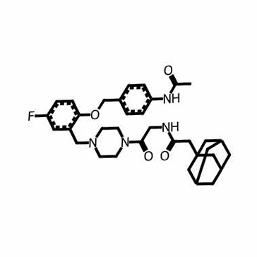 CC(=O)Nc1ccc(COc2ccc(F)cc2CN2CCN(C(=O)CNC(=O)CC34CC5CC(CC(C5)C3)C4)CC2)cc1